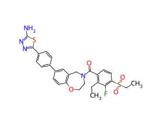 CCc1c(C(=O)N2CCOc3ccc(-c4ccc(-c5nnc(N)s5)cc4)cc3C2)ccc(S(=O)(=O)CC)c1F